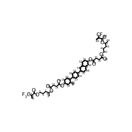 C=C(C(=O)OCCCC(C)OC(=O)CCC(=O)Oc1ccc(-c2ccc(-c3ccc4cc(OC(=O)CCC(=O)OCCCC(C)OC(=O)C(=C)C(F)(F)F)ccc4c3)cc2)c(F)c1)C(F)(F)F